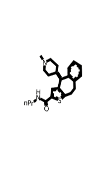 CCCNC(=O)c1cc2c(s1)CCc1ccccc1C2=C1CCN(C)CC1